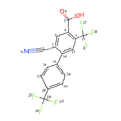 N#Cc1cc(C(=O)O)c(C(F)(F)F)cc1-c1ccc(C(F)(F)F)cc1